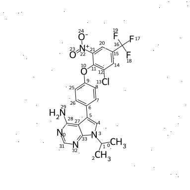 CC(C)n1cc(-c2ccc(Oc3c(Cl)cc(C(F)(F)F)cc3[N+](=O)[O-])cc2)c2c(N)ncnc21